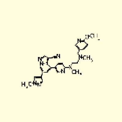 COc1ccc(CN(C)CCN(C)c2ccc(-c3cc(-c4cnn(C)c4)cn4ncc(C#N)c34)cn2)cn1